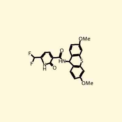 COc1ccc2c(c1)Sc1cc(OC)ccc1C2NC(=O)c1ccc(C(F)F)[nH]c1=O